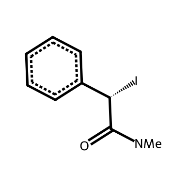 CNC(=O)[C@@H](I)c1ccccc1